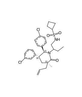 C=CC[C@@]1(C)C[C@H](c2cccc(Cl)c2)[C@@H](c2ccc(Cl)cc2)N(C(CC)CNS(=O)(=O)C2CCC2)C1=O